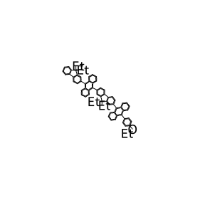 CCOc1ccc(-c2c3ccccc3c(-c3ccc4c(c3)C(CC)(CC)c3cc(-c5c6ccccc6c(-c6ccc7c(c6)C(CC)(CC)c6ccccc6-7)c6ccccc56)ccc3-4)c3ccccc23)cc1